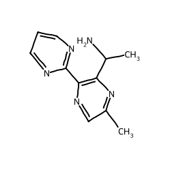 Cc1cnc(-c2ncccn2)c(C(C)N)n1